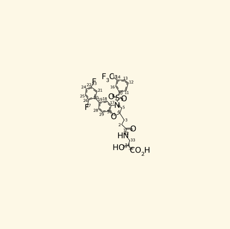 O=C(CCC1CN(S(=O)(=O)c2cccc(C(F)(F)F)c2)c2cc(-c3cc(F)ccc3F)ccc2O1)NCC(O)C(=O)O